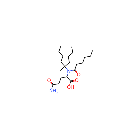 CCCCCC(=O)N(C(CCC(N)=O)C(=O)O)C(C)(CCCC)CCCC